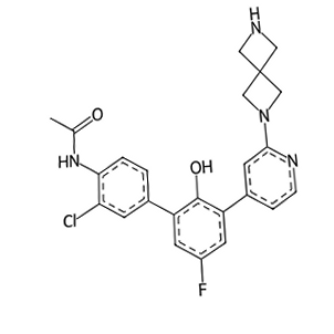 CC(=O)Nc1ccc(-c2cc(F)cc(-c3ccnc(N4CC5(CNC5)C4)c3)c2O)cc1Cl